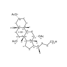 CC(=O)O[C@@H]1CC[C@@]2(C)[C@@H](C1)C[C@@H](OC(C)=O)[C@@]1(C)C3CCC([C@H](C)CCC(=O)O)[C@@]3(C)[C@@H](OC(C)=O)C[C@H]21